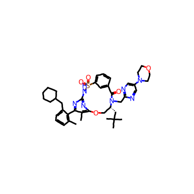 Cc1cccc(CC2CCCCC2)c1-c1nc2nc(c1C)OC[C@@H](CC(C)(C)C)N(Cc1ncc(N3CCOCC3)cn1)C(=O)c1cccc(c1)S(=O)(=O)N2